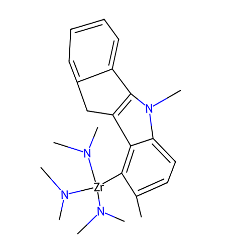 Cc1ccc2c(c3c(n2C)-c2ccccc2C3)[c]1[Zr]([N](C)C)([N](C)C)[N](C)C